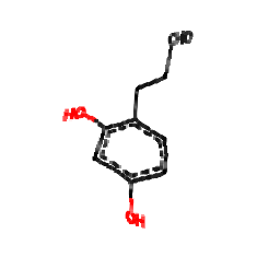 O=CCCc1ccc(O)cc1O